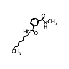 CCCCCCCNC(=O)c1cccc(C(=O)NC)c1